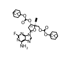 C#C[C@]1(COC(=O)OC23CCC(CC2)CC3)O[C@@H](n2cnc3c(N)nc(F)nc32)C[C@@H]1OC(=O)OC12CCC(CC1)CC2